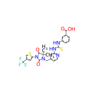 CC1(C)C(=O)N(c2cc(C(F)(F)F)cs2)C(=O)N1Cc1ccnc(NC(=S)Nc2cccc(C(=O)O)c2)c1